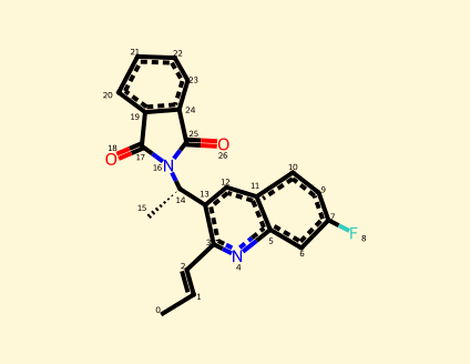 CC=Cc1nc2cc(F)ccc2cc1[C@H](C)N1C(=O)c2ccccc2C1=O